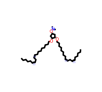 CCCCC/C=C\C/C=C\CCCCCCCCO[C@H]1C[C@@H](ON(C)C)C[C@H]1OCCCCCCCC/C=C\C/C=C\CCCCC